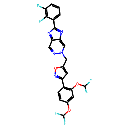 Fc1cccc(-c2nc3cnn(Cc4cc(-c5ccc(OC(F)F)cc5OC(F)F)no4)cc-3n2)c1F